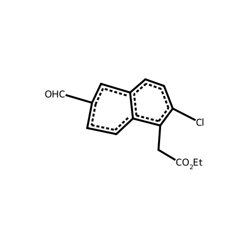 CCOC(=O)Cc1c(Cl)ccc2cc(C=O)ccc12